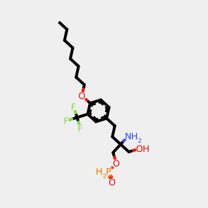 CCCCCCCCOc1ccc(CCC(N)(CO)CO[PH2]=O)cc1C(F)(F)F